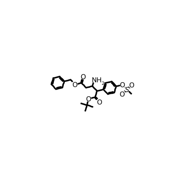 CC(C)(C)OC(=O)C(c1ccc(OS(C)(=O)=O)cc1)C(N)CC(=O)OCc1ccccc1